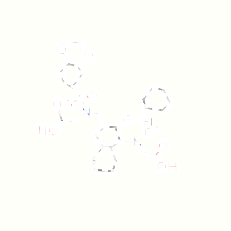 CN(CC(=O)O)c1c(OCc2ccccc2)c(CN(CC(=O)O)S(=O)(=O)c2ccc3c(c2)OCCO3)cc2ccccc12